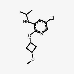 CO[C@H]1C[C@H](Oc2ncc(Cl)cc2NC(C)C)C1